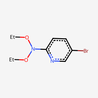 CCON(OCC)c1ccc(Br)cn1